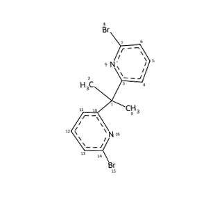 CC(C)(c1cccc(Br)n1)c1cccc(Br)n1